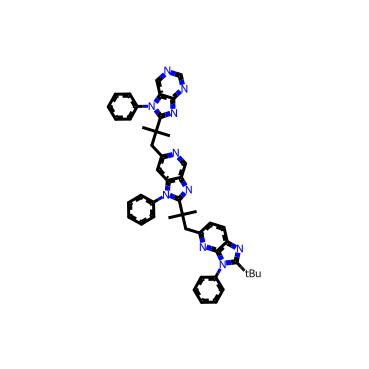 CC(C)(C)c1nc2ccc(CC(C)(C)c3nc4cnc(CC(C)(C)c5nc6ncncc6n5-c5ccccc5)cc4n3-c3ccccc3)nc2n1-c1ccccc1